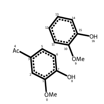 COc1cc(C(C)=O)ccc1O.COc1ccccc1O